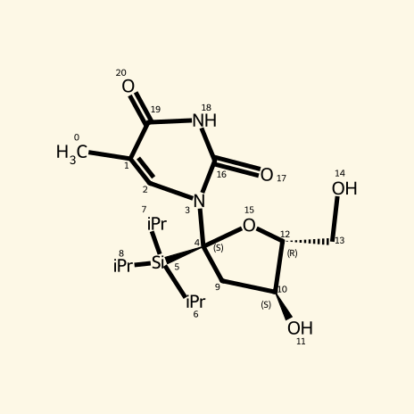 Cc1cn([C@@]2([Si](C(C)C)(C(C)C)C(C)C)C[C@H](O)[C@@H](CO)O2)c(=O)[nH]c1=O